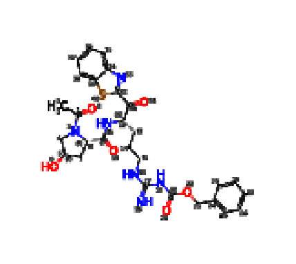 CC(=O)N1C[C@H](O)C[C@H]1C(=O)N[C@@H](CCCNC(=N)NC(=O)OCc1ccccc1)C(=O)c1nc2ccccc2s1